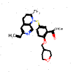 C=Cc1cc2c(cn1)N(Sc1ccc(OCC3CCOCC3)c(C(=O)OC)c1)[C@@H](C)CC2